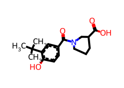 CC(C)(C)c1cc(C(=O)N2CCCC(C(=O)O)C2)ccc1O